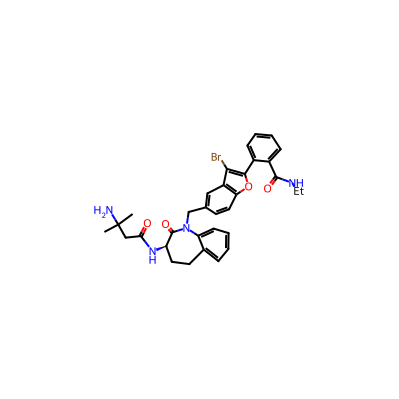 CCNC(=O)c1ccccc1-c1oc2ccc(CN3C(=O)[C@H](NC(=O)CC(C)(C)N)CCc4ccccc43)cc2c1Br